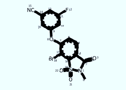 CN1C(=O)c2ccc(Oc3cc(F)cc(C#N)c3)c(Br)c2S1(=O)=O